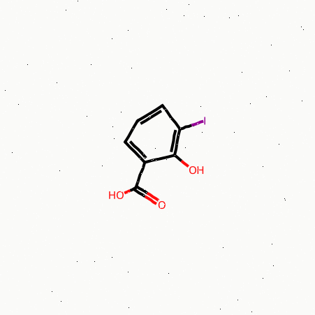 O=C(O)c1cccc(I)c1O